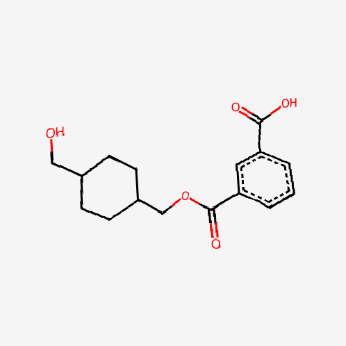 O=C(O)c1cccc(C(=O)OCC2CCC(CO)CC2)c1